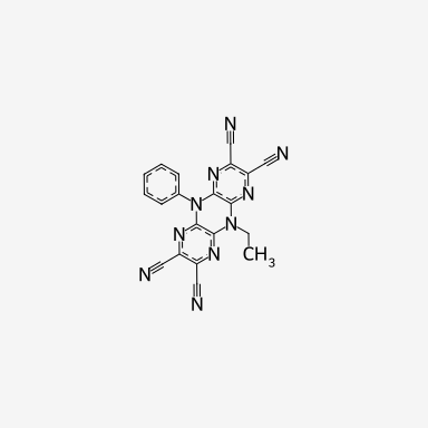 CCN1c2nc(C#N)c(C#N)nc2N(c2ccccc2)c2nc(C#N)c(C#N)nc21